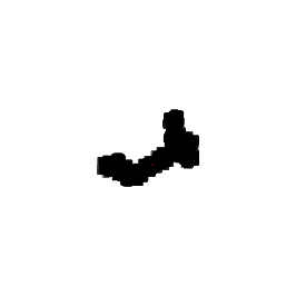 c1ccc(-c2ccc(-c3nc(-c4ccc(-c5ccc(-c6ccc7oc8cc9c(cc8c7c6)oc6ccccc69)cc5)cc4)nc(-c4ccccc4-c4ccccc4)n3)cc2)cc1